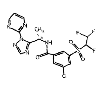 C[C@H](NC(=O)c1cc(Cl)cc(S(=O)(=O)C(F)C(F)F)c1)c1ncnn1-c1ncccn1